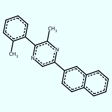 Cc1ccccc1-c1ncc(-c2ccc3ccccc3c2)nc1C